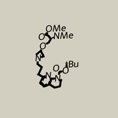 CN[C@@H](COC1CN(CCCc2ccc3c(n2)N(C(=O)OC(C)(C)C)CCC3)C1)C(=O)OC